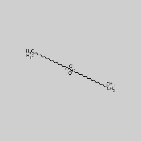 CC(C)CCCCCCCCCCCCCCCOC(=O)C(=O)OCCCCCCCCCCCCCCCC(C)C